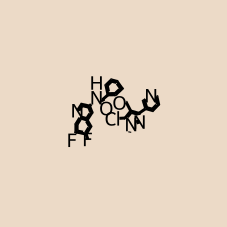 Cn1nc(-c2cccnc2)c(COc2ccccc2C(=O)Nc2cnc3cc(F)c(F)cc3c2)c1Cl